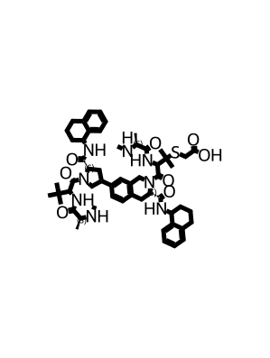 CN[C@@H](C)C(=O)NC(C(=O)N1CC(c2ccc3c(c2)CN(C(=O)C(NC(=O)[C@H](C)NC)C(C)(C)SCC(=O)O)[C@H](C(=O)NC2CCCc4ccccc42)C3)C[C@H]1C(=O)NC1CCCc2ccccc21)C(C)(C)C